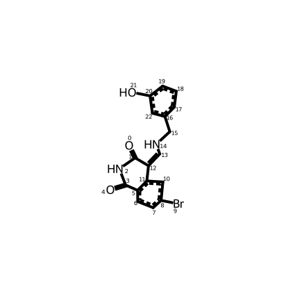 O=C1NC(=O)c2ccc(Br)cc2/C1=C/NCc1cccc(O)c1